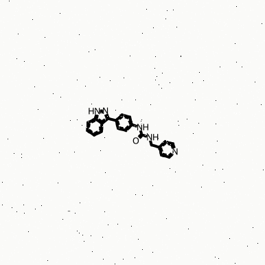 O=C(NCc1ccncc1)Nc1ccc(-c2n[nH]c3ccccc23)cc1